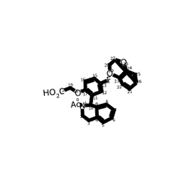 CC(=O)N1CCc2ccccc2C1c1cc(F)ccc1OCC(=O)O.c1cc2c3cc1C(CO2)O3